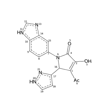 CC(=O)C1=C(O)C(=O)N(c2ccc3[nH]cnc3c2)C1c1cc[nH]n1